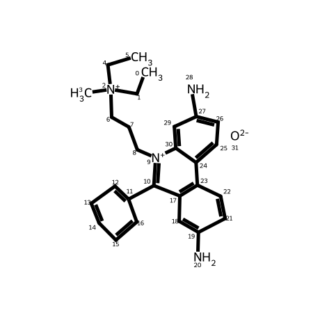 CC[N+](C)(CC)CCC[n+]1c(-c2ccccc2)c2cc(N)ccc2c2ccc(N)cc21.[O-2]